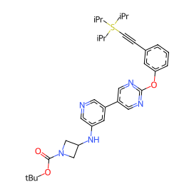 CC(C)S(C#Cc1cccc(Oc2ncc(-c3cncc(NC4CN(C(=O)OC(C)(C)C)C4)c3)cn2)c1)(C(C)C)C(C)C